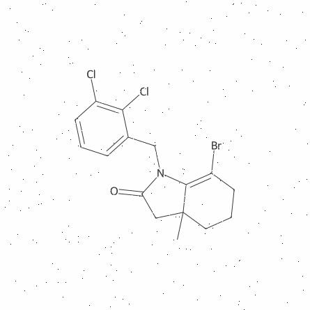 CC12CCCC(Br)=C1N(Cc1cccc(Cl)c1Cl)C(=O)C2